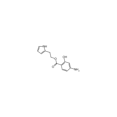 Nc1ccc(C(=O)OCCc2ccc[nH]2)c(O)c1